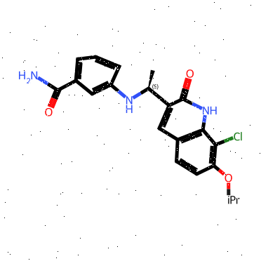 CC(C)Oc1ccc2cc([C@H](C)Nc3cccc(C(N)=O)c3)c(=O)[nH]c2c1Cl